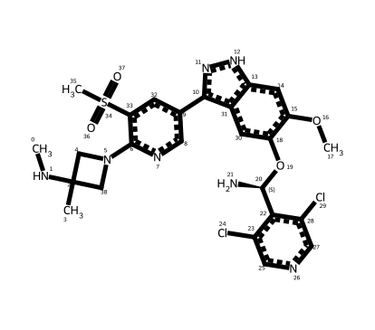 CNC1(C)CN(c2ncc(-c3n[nH]c4cc(OC)c(O[C@H](N)c5c(Cl)cncc5Cl)cc34)cc2S(C)(=O)=O)C1